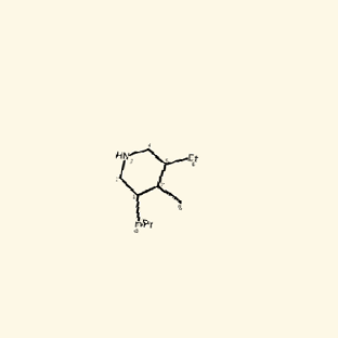 CCCC1CNCC(CC)C1C